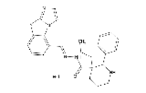 CCCC1(C(=O)NN=Cc2cccc3sc4nccn4c23)CCCNC1c1ccccc1.Cl